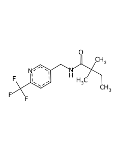 CCC(C)(C)C(=O)NCc1ccc(C(F)(F)F)nc1